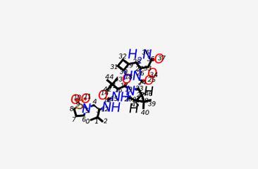 CC(C)[C@@H](CN1CCCS1(=O)=O)NC(=O)N[C@H](C(=O)N1C[C@H]2[C@@H]([C@H]1C(=O)NC(CC1CCC1)C(=O)C(N)=O)C2(C)C)C(C)(C)C